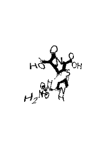 C[C@@H](O)C1C(=O)N2C(C(=O)O)=C(S[C@@H]3CN[C@H](CNS(N)(=O)=O)C3)[C@H](C)C12